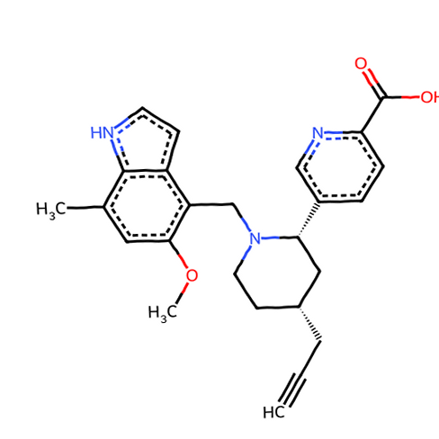 C#CC[C@@H]1CCN(Cc2c(OC)cc(C)c3[nH]ccc23)[C@H](c2ccc(C(=O)O)nc2)C1